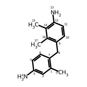 Cc1cc(N)ccc1Cc1ccc(N)c(C)c1C